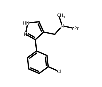 CCCN(C)Cc1c[nH]nc1-c1cccc(Cl)c1